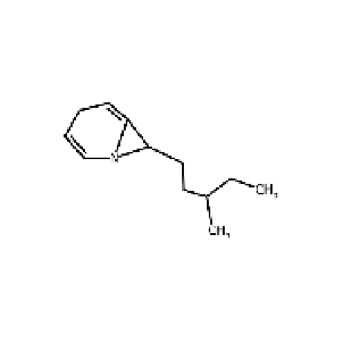 CCC(C)CCC1C2=CCC=CN21